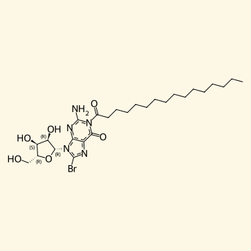 CCCCCCCCCCCCCCCC(=O)n1c(N)nc2c(nc(Br)n2[C@@H]2O[C@H](CO)[C@@H](O)[C@H]2O)c1=O